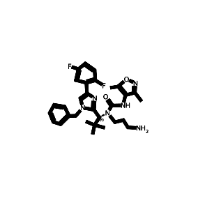 Cc1noc(C)c1NC(=O)N(CCCN)[C@@H](c1nc(-c2cc(F)ccc2F)cn1Cc1ccccc1)C(C)(C)C